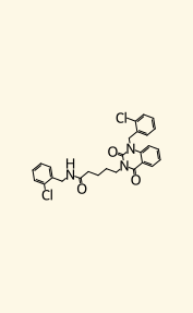 O=C(CCCCn1c(=O)c2ccccc2n(Cc2ccccc2Cl)c1=O)NCc1ccccc1Cl